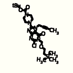 CC#CCn1c(N2CCN(C(=O)OC(C)(C)C)CC2)nc2nc(Cl)n(COCC[Si](C)(C)C)c(=O)c21